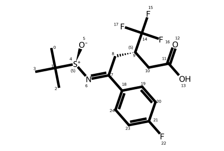 CC(C)(C)[S@@+]([O-])N=C(C[C@@H](CC(=O)O)C(F)(F)F)c1ccc(F)cc1